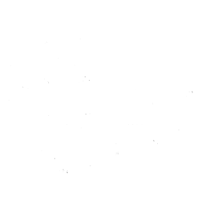 O=C(NCc1cc2c(Cl)c[nH]c2cc1F)c1cccc(Cc2ccc3ncc(Cl)cc3c2)n1